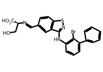 O=C(O)[C@H](CO)N=Cc1ccc2snc(Nc3cccc(-c4ccccc4)c3Br)c2c1